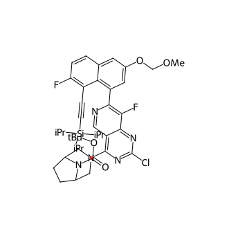 COCOc1cc(-c2ncc3c(N4CC5CCC(C4)N5C(=O)OC(C)(C)C)nc(Cl)nc3c2F)c2c(C#C[Si](C(C)C)(C(C)C)C(C)C)c(F)ccc2c1